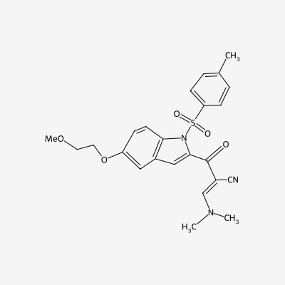 COCCOc1ccc2c(c1)cc(C(=O)C(C#N)=CN(C)C)n2S(=O)(=O)c1ccc(C)cc1